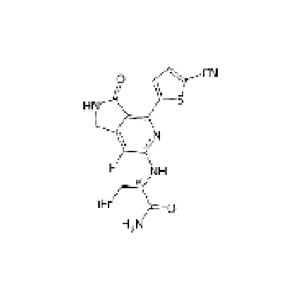 CC(C)C[C@@H](Nc1nc(-c2ccc(C#N)s2)c2c(c1F)CNC2=O)C(N)=O